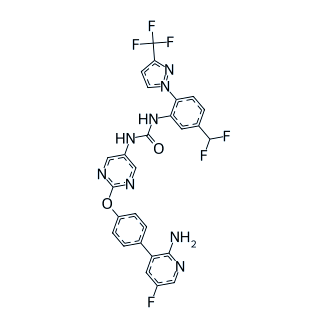 Nc1ncc(F)cc1-c1ccc(Oc2ncc(NC(=O)Nc3cc(C(F)F)ccc3-n3ccc(C(F)(F)F)n3)cn2)cc1